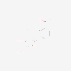 NC(=O)c1ccc[n+]([C@@H]2O[C@H](CO)C(O)[C@@H]2Cl)c1